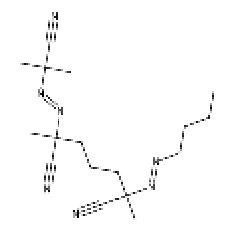 CCCCN=NC(C)(C#N)CCCC(C)(C#N)N=NC(C)(C)C#N